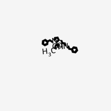 CCOC(=O)[C@@H]1[C@H](CCCNCCc2ccccc2)CCN1CCc1ccccc1